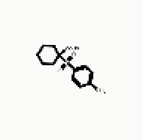 CCOC(=O)C1(S(=O)(=O)c2ccc(C)cc2)CCCCC1